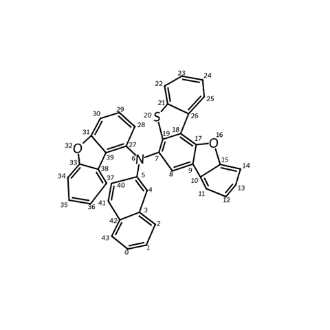 c1ccc2cc(N(c3cc4c5ccccc5oc4c4c3sc3ccccc34)c3cccc4oc5ccccc5c34)ccc2c1